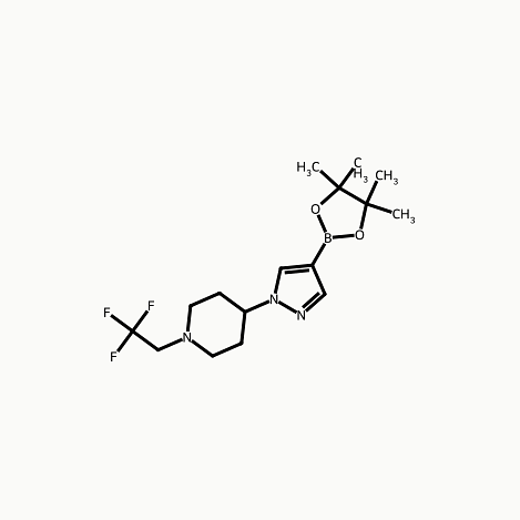 CC1(C)OB(c2cnn(C3CCN(CC(F)(F)F)CC3)c2)OC1(C)C